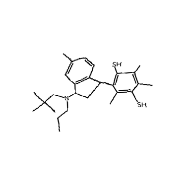 CCCN(CC(C)(C)C)C1CC(c2c(C)c(S)c(C)c(C)c2S)c2ccc(C)cc21